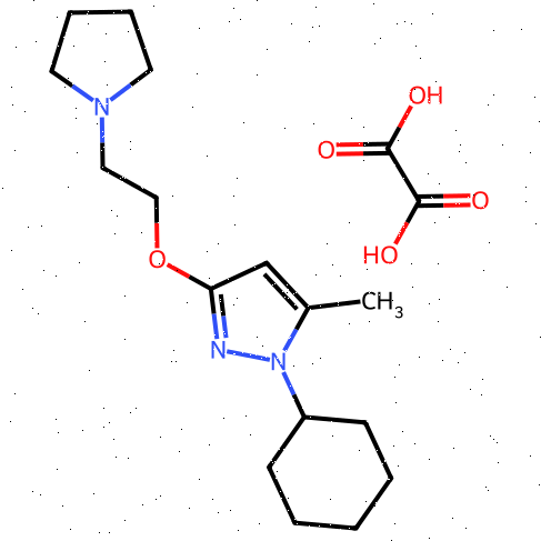 Cc1cc(OCCN2CCCC2)nn1C1CCCCC1.O=C(O)C(=O)O